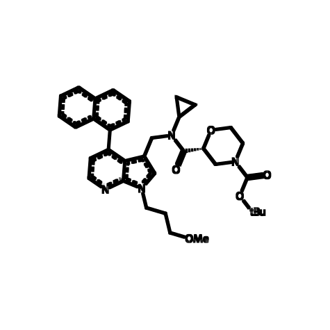 COCCCn1cc(CN(C(=O)[C@H]2CN(C(=O)OC(C)(C)C)CCO2)C2CC2)c2c(-c3cccc4ccccc34)ccnc21